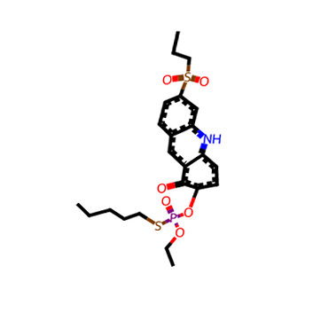 CCCCCSP(=O)(OCC)Oc1ccc2[nH]c3cc(S(=O)(=O)CCC)ccc3cc-2c1=O